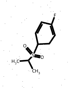 CC(C)S(=O)(=O)[C]1C=CC(F)=CC1